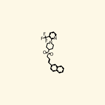 O=S(=O)(CC=Cc1ccc2ccccc2c1)C1CCN(c2ncccc2C(F)(F)F)CC1